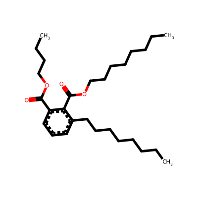 CCCCCCCCOC(=O)c1c(CCCCCCCC)cccc1C(=O)OCCCC